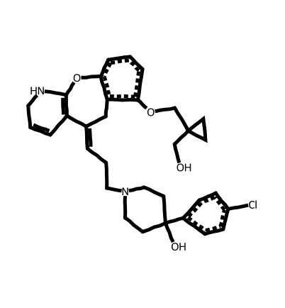 OCC1(COc2cccc3c2CC(=CCCN2CCC(O)(c4ccc(Cl)cc4)CC2)C2=C(NCC=C2)O3)CC1